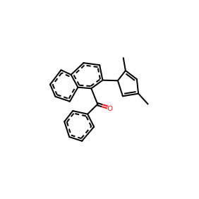 CC1=CC(c2ccc3ccccc3c2C(=O)c2ccccc2)C(C)=C1